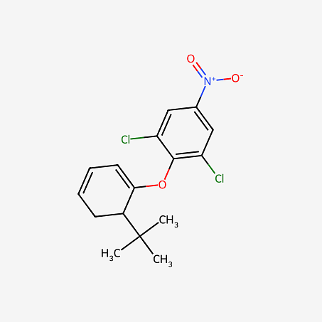 CC(C)(C)C1CC=CC=C1Oc1c(Cl)cc([N+](=O)[O-])cc1Cl